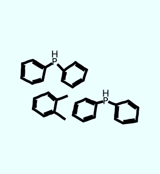 Cc1ccccc1C.c1ccc(Pc2ccccc2)cc1.c1ccc(Pc2ccccc2)cc1